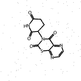 O=C1CCC(n2c(=O)sc3nccnc3c2=O)C(=O)N1